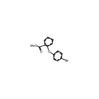 COC(=O)c1ccccc1Oc1ccc(Br)cc1